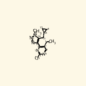 CCc1cnc(Cl)nc1-c1nnn(C)c1CC1CC1